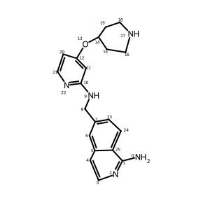 Nc1nccc2cc(CNc3cc(OC4CCNCC4)ccn3)ccc12